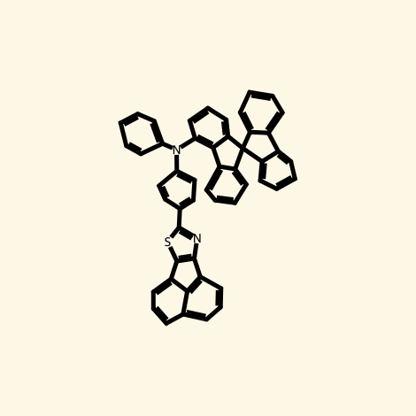 c1ccc(N(c2ccc(-c3nc4c(s3)-c3cccc5cccc-4c35)cc2)c2cccc3c2-c2ccccc2C32c3ccccc3-c3ccccc32)cc1